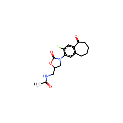 CC(=O)NCC1CN(c2cc3c(cc2F)C(=O)CCCC3)C(=O)O1